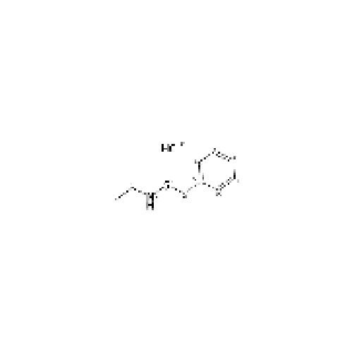 CCNSCc1ccccc1.Cl